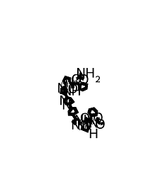 COC(=O)N[C@@H](C(=O)N1CCC[C@H]1c1ncc(-c2ccc(-c3ccc(-c4cnc([C@@H]5CCCN5C(=O)[C@H](OC(N)=O)c5ccccc5)[nH]4)nn3)cc2)[nH]1)c1ccccc1